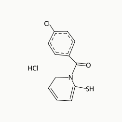 Cl.O=C(c1ccc(Cl)cc1)N1CC=CC=C1S